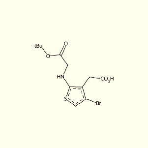 CC(C)(C)OC(=O)CNc1scc(Br)c1CC(=O)O